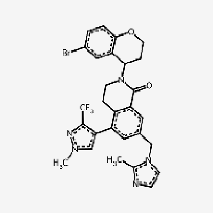 Cc1nccn1Cc1cc2c(c(-c3cn(C)nc3C(F)(F)F)c1)CCN(C1CCOc3ccc(Br)cc31)C2=O